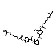 C=CC(=O)OCCCCOC(=O)Oc1ccc(C(=O)OC2(C)C=CC=CC2OC(=O)c2ccc(OC(=O)OCCCCOC(=O)C=C)c(OC)c2)cc1